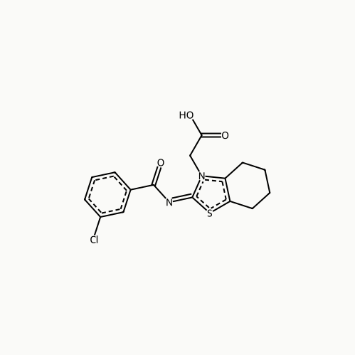 O=C(O)Cn1c2c(sc1=NC(=O)c1cccc(Cl)c1)CCCC2